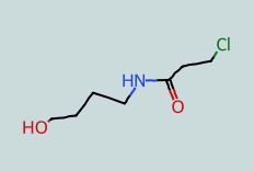 O=C(CCCl)NCCCCO